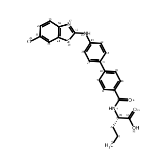 CCC[C@H](NC(=O)c1ccc(-c2ccc(Nc3nc4ccc(Cl)cc4s3)cc2)cc1)C(=O)O